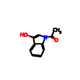 CC(=O)n1cc(O)c2ccccc21